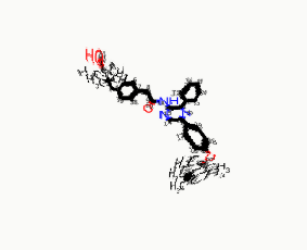 CC(C)(Cc1ccc(CC(=O)Nc2ncc(-c3ccc(O[Si](C)(C)C(C)(C)C)cc3)nc2-c2ccccc2)cc1)[Si](C)(C)O